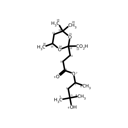 CC(CC(C)(C)O)OC(=O)CCC1(C(=O)O)OC(C)CC(C)(C)O1